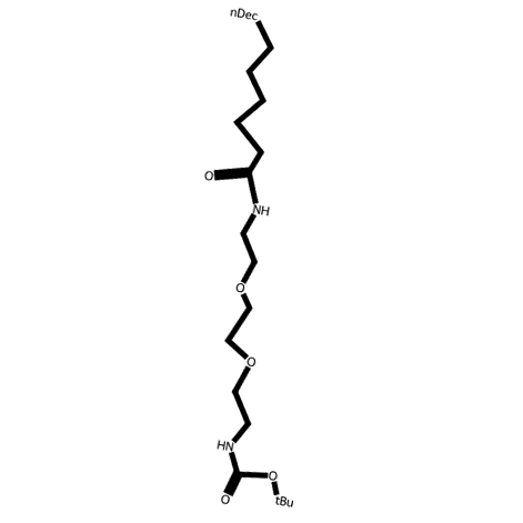 CCCCCCCCCCCCCCCC(=O)NCCOCCOCCNC(=O)OC(C)(C)C